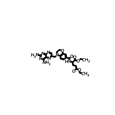 CCOC(=O)CCC(NC(=O)c1ccc2c(c1)OCCN2Cc1cnc2nc(N)nc(N)c2n1)C(=O)OCC